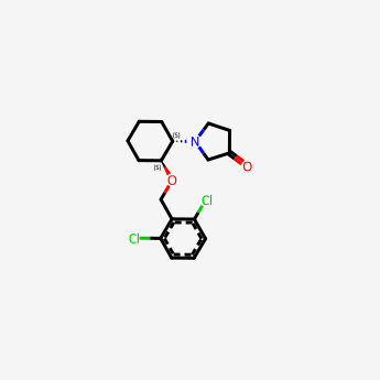 O=C1CCN([C@H]2CCCC[C@@H]2OCc2c(Cl)cccc2Cl)C1